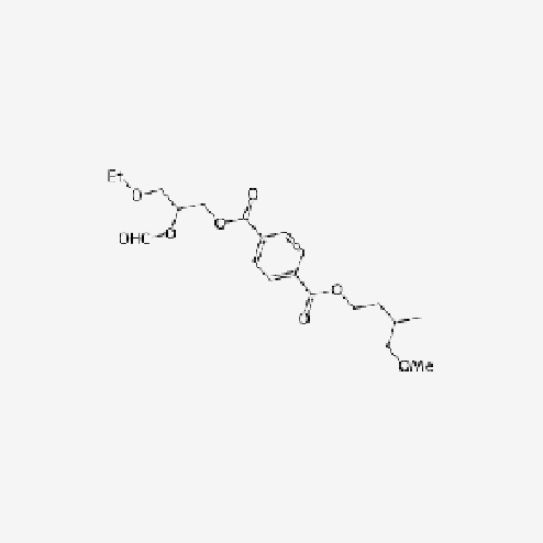 CCOCC(COC(=O)c1ccc(C(=O)OCCC(C)COC)cc1)OC=O